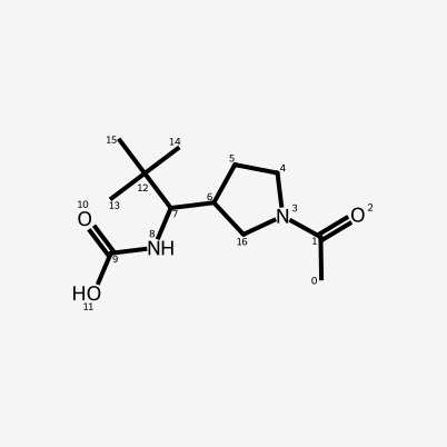 CC(=O)N1CCC(C(NC(=O)O)C(C)(C)C)C1